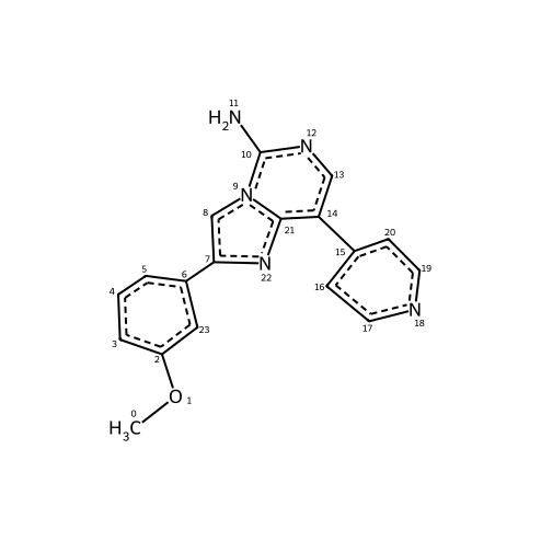 COc1cccc(-c2cn3c(N)ncc(-c4ccncc4)c3n2)c1